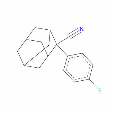 N#CC1(c2ccc(F)cc2)C2CC3CC(C2)CC1C3